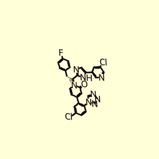 O=c1cc(-c2cc(Cl)ccc2-n2cnnn2)ccn1[C@H](Cc1ccc(F)cc1)c1ncc(-c2cncc(Cl)c2)[nH]1